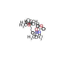 C[SiH](C)OC(CCCCc1ccc(C(C)(C)C)c(NC(=O)CC2c3ccccc3Oc3ccccc32)c1)(C1CCCCC1)C(C)(C)C